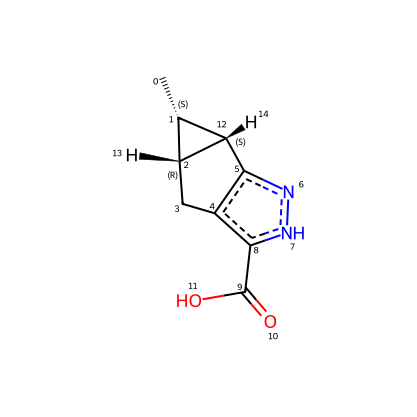 C[C@H]1[C@H]2Cc3c(n[nH]c3C(=O)O)[C@@H]12